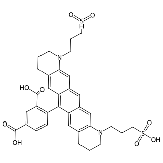 O=C(O)c1ccc(-c2c3cc4c(cc3cc3cc5c(cc23)CCCN5CCCS(=O)(=O)O)N(CCC[SH](=O)=O)CCC4)c(C(=O)O)c1